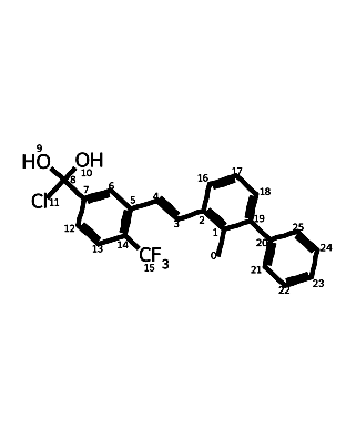 Cc1c(/C=C/c2cc(C(O)(O)Cl)ccc2C(F)(F)F)cccc1-c1ccccc1